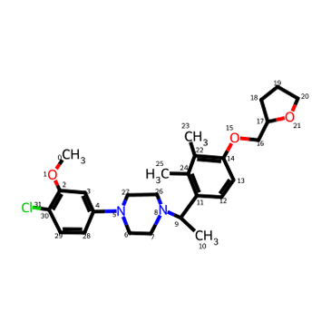 COc1cc(N2CCN(C(C)c3ccc(OCC4CCCO4)c(C)c3C)CC2)ccc1Cl